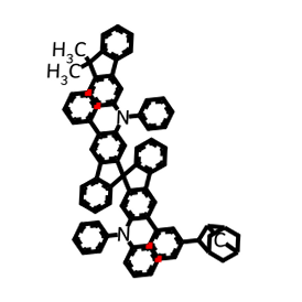 CC1(C)c2ccccc2-c2cc(N(c3ccccc3)c3cc4c(cc3-c3ccccc3)-c3ccccc3C43c4ccccc4-c4cc(-c5cccc(C6C7CC8CC(C7)C6C8)c5)c(N(c5ccccc5)c5ccccc5)cc43)ccc21